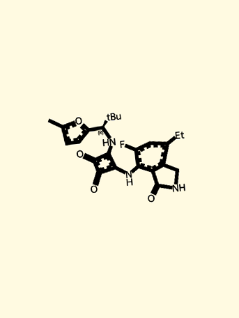 CCc1cc(F)c(Nc2c(N[C@@H](c3ccc(C)o3)C(C)(C)C)c(=O)c2=O)c2c1CNC2=O